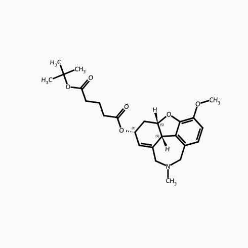 COc1ccc2c3c1O[C@H]1C[C@@H](OC(=O)CCCC(=O)OC(C)(C)C)C=C(CN(C)C2)[C@@H]31